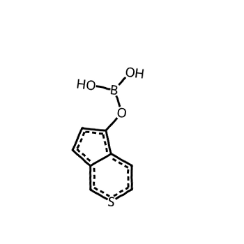 OB(O)Oc1ccc2csccc1-2